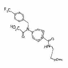 CCCCCCCCCCCCNC(=O)c1ccc(N(Cc2ccc(C(F)(F)F)cc2)C(=O)C(=O)O)cc1